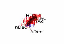 CCCCCCCCCCCCC/C=C/[C@@H](O)[C@H](CO[C@@H]1OC(CO)[C@@H](O[C@@H]2OC(CO)[C@H](O[C@@H]3OC(CO)[C@H](O)[C@H](O[C@@H]4OC(CO)[C@H](O)[C@H](O[C@@H]5OC(CO)[C@@H](O)[C@H](O[C@H]6OC(C)[C@@H](O)C(O)[C@@H]6O)C5NC(C)=O)C4O)C3NC(C)=O)[C@H](O)C2O)[C@H](O)C1O)NC(=O)CCCCCCCCCCCCCCCCCCCCCCCCC